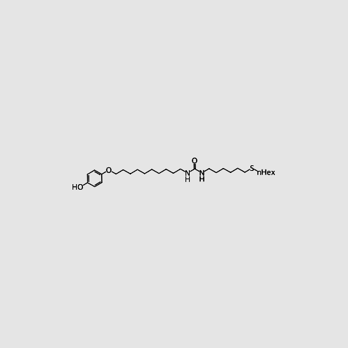 CCCCCCSCCCCCCNC(=O)NCCCCCCCCCCOc1ccc(O)cc1